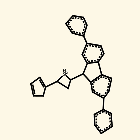 C1=CCC(C2CC(C3c4cc(-c5ccccc5)ccc4-c4ccc(-c5ccccc5)cc43)[SiH2]2)=C1